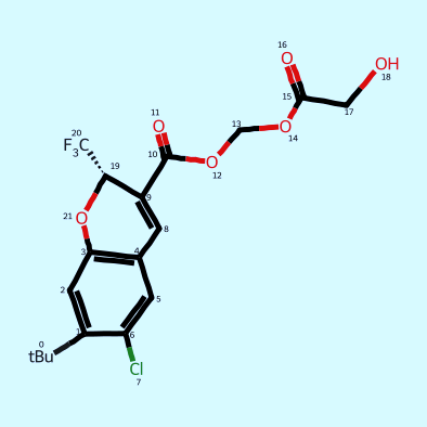 CC(C)(C)c1cc2c(cc1Cl)C=C(C(=O)OCOC(=O)CO)[C@@H](C(F)(F)F)O2